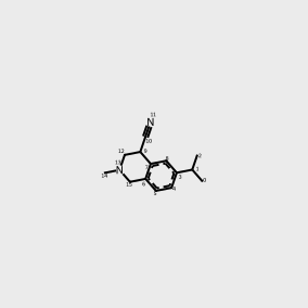 CC(C)c1ccc2c(c1)C(C#N)CN(C)C2